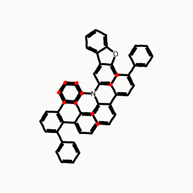 C1=C=C(N(c2ccc3oc4ccccc4c3c2)c2ccccc2C2=CC=C(c3ccccc3)CC2)C=C(c2cccc(-c3ccccc3)c2-c2ccccc2-c2ccccc2)C=1